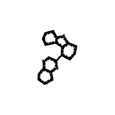 c1ccc2nc(-c3cccc4sc5ccccc5c34)cnc2c1